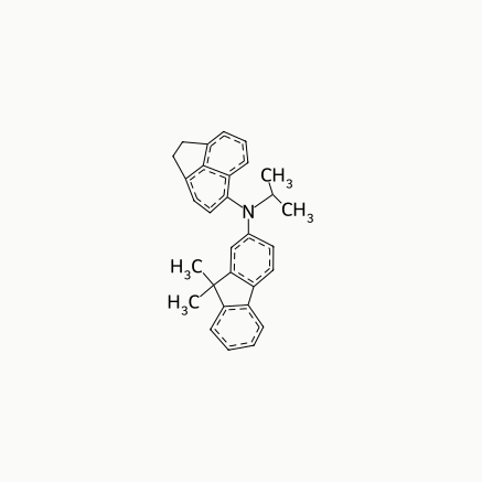 CC(C)N(c1ccc2c(c1)C(C)(C)c1ccccc1-2)c1ccc2c3c(cccc13)CC2